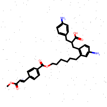 COC(=O)/C=C/c1ccc(C(=O)OCCCCCCc2cc(N)ccc2CC(Cc2ccc(N)cc2)C(=O)O)cc1